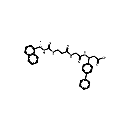 C[C@H](NC(=O)NCCC(=O)NCC(=O)NC(CC(=O)O)c1ccc(-c2ccccc2)cc1)c1cccc2ccccc12